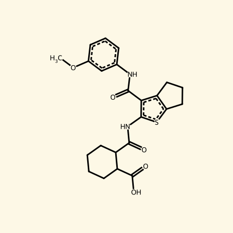 COc1cccc(NC(=O)c2c(NC(=O)C3CCCCC3C(=O)O)sc3c2CCC3)c1